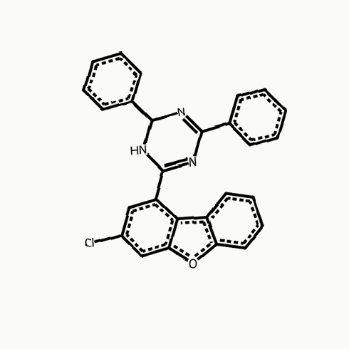 Clc1cc(C2=NC(c3ccccc3)=NC(c3ccccc3)N2)c2c(c1)oc1ccccc12